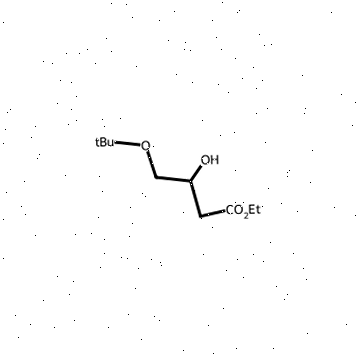 CCOC(=O)CC(O)COC(C)(C)C